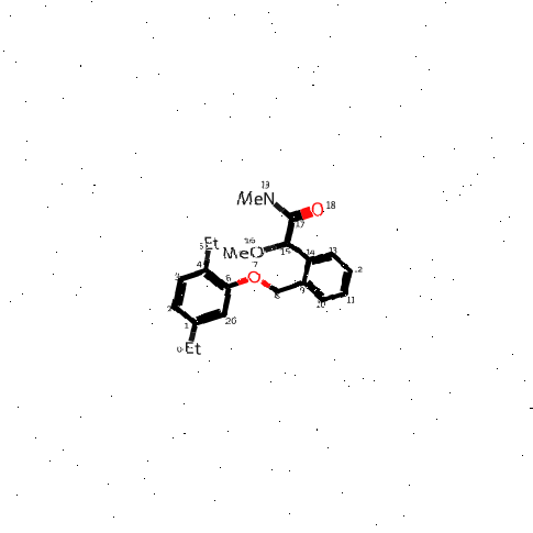 CCc1ccc(CC)c(OCc2ccccc2C(OC)C(=O)NC)c1